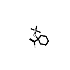 C=C(I)C1(O[Si](C)(C)C)CCCCC1